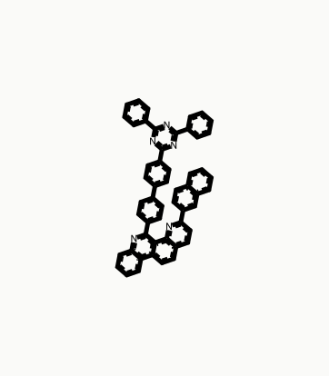 c1ccc(-c2nc(-c3ccccc3)nc(-c3ccc(-c4ccc(-c5nc6ccccc6c6ccc7ccc(-c8ccc9ccccc9c8)nc7c56)cc4)cc3)n2)cc1